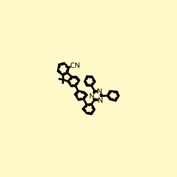 CC1(C)c2cc(-c3ccc(-c4ccccc4-c4nc(-c5ccccc5)nc(-c5ccccc5)n4)cc3)ccc2-c2c(C#N)cccc21